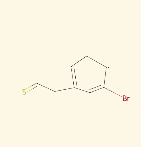 S=CCC1=CC[CH]C(Br)=C1